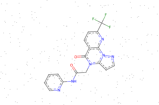 O=C(Cn1c(=O)c2ccc(C(F)(F)F)nc2n2nccc12)Nc1ccccn1